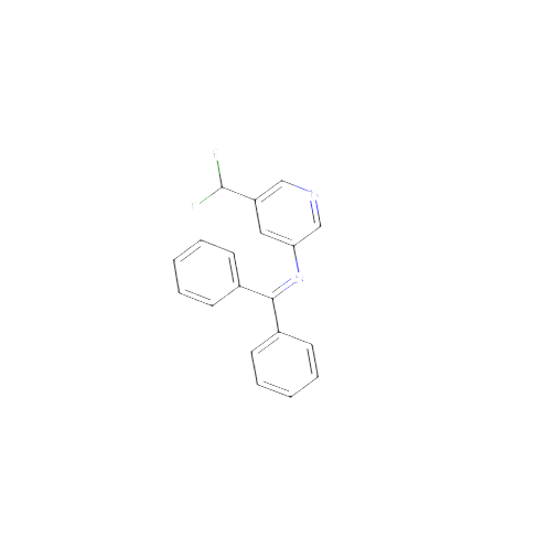 FC(F)c1cncc(N=C(c2ccccc2)c2ccccc2)c1